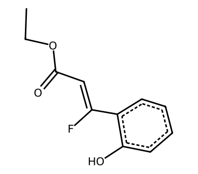 CCOC(=O)C=C(F)c1ccccc1O